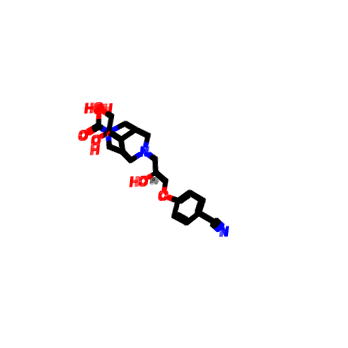 N#Cc1ccc(OC[C@@H](O)CN2CC3CN(C(=O)O)CC(C2)C3C(O)CO)cc1